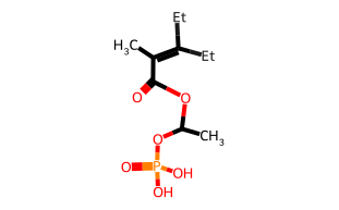 CCC(CC)=C(C)C(=O)OC(C)OP(=O)(O)O